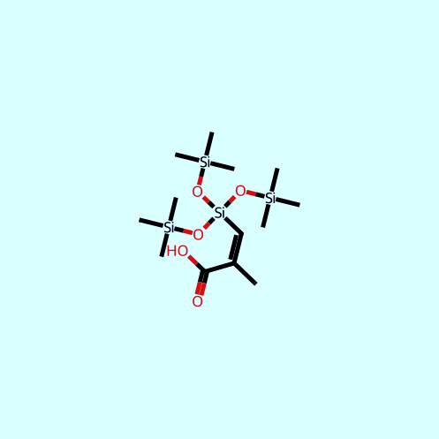 CC(=C[Si](O[Si](C)(C)C)(O[Si](C)(C)C)O[Si](C)(C)C)C(=O)O